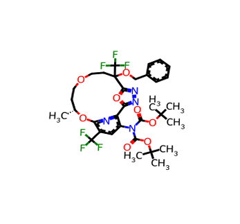 C[C@@H]1CCOCCC(OCc2ccccc2)(C(F)(F)F)c2nnc(o2)-c2nc(c(C(F)(F)F)cc2N(C(=O)OC(C)(C)C)C(=O)OC(C)(C)C)O1